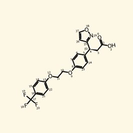 O=C(O)C[C@@H](c1ccc(OCCOc2ccc(C(F)(F)F)cc2)cc1)c1ccon1